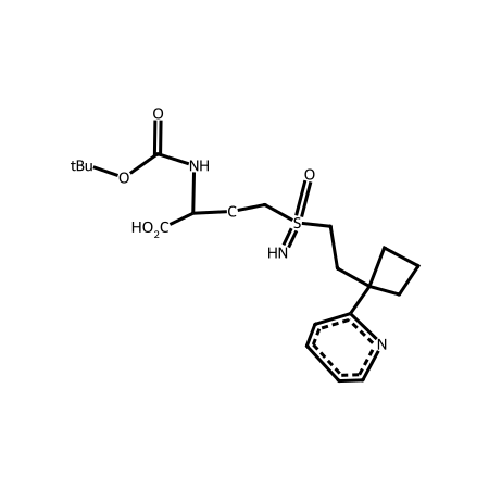 CC(C)(C)OC(=O)NC(CCS(=N)(=O)CCC1(c2ccccn2)CCC1)C(=O)O